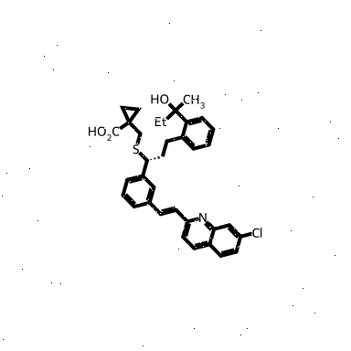 CCC(C)(O)c1ccccc1CC[C@@H](SCC1(C(=O)O)CC1)c1cccc(/C=C/c2ccc3ccc(Cl)cc3n2)c1